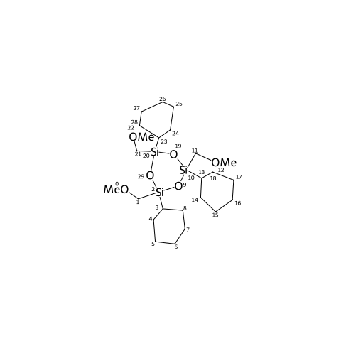 COC[Si]1(C2CCCCC2)O[Si](COC)(C2CCCCC2)O[Si](COC)(C2CCCCC2)O1